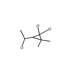 CC(Cl)C1C(C)(C)C1(Cl)Cl